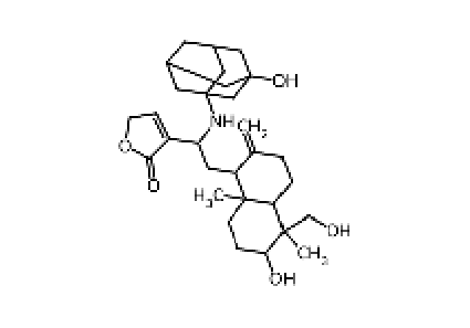 C=C1CCC2C(C)(CO)C(O)CCC2(C)C1CC(NC12CC3CC(CC(O)(C3)C1)C2)C1=CCOC1=O